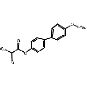 CCCCCCCOc1ccc(-c2ccc(OC(=O)C(Cl)C(C)CC)cc2)cc1